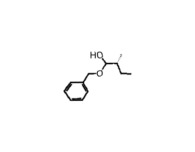 CC[C@@H](C)C(O)OCc1ccccc1